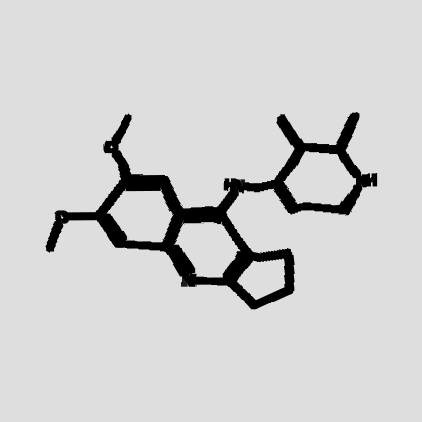 COc1cc2nc3c(c(NC4CCNC(C)C4C)c2cc1OC)CCC3